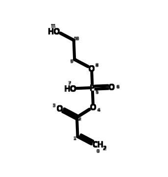 C=CC(=O)OP(=O)(O)OCCO